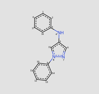 c1ccc(Nc2cnn(-c3ccccc3)c2)cc1